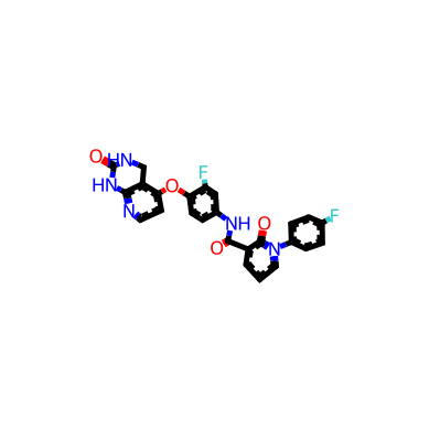 O=C1NCc2c(Oc3ccc(NC(=O)c4cccn(-c5ccc(F)cc5)c4=O)cc3F)ccnc2N1